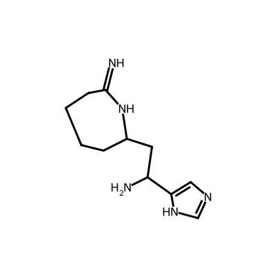 N=C1CCCCC(CC(N)c2cnc[nH]2)N1